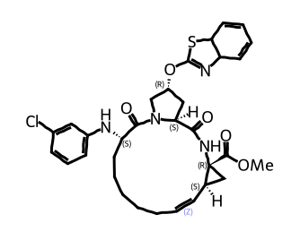 COC(=O)[C@@]12C[C@H]1/C=C\CCCCC[C@H](Nc1cccc(Cl)c1)C(=O)N1C[C@H](OC3=NC4C=CC=CC4S3)C[C@H]1C(=O)N2